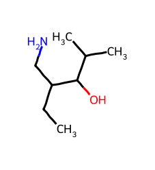 CCC(CN)C(O)C(C)C